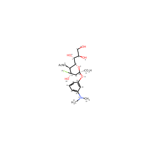 CC(=O)N[C@H]1[C@H]([C@H](O)[C@H](O)CO)O[C@](Oc2cccc(N(C)C)c2)(C(=O)O)C[C@@]1(O)F